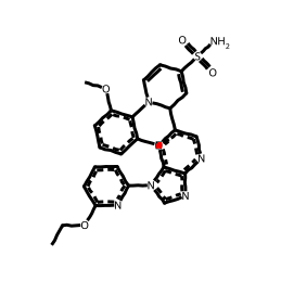 CCOc1cccc(-n2cnc3ncc(C4C=C(S(N)(=O)=O)C=CN4c4c(OC)cccc4OC)nc32)n1